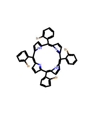 Brc1ccccc1-c1c2nc(c(-c3ccccc3Br)c3ccc([nH]3)c(-c3ccccc3Br)c3nc(c(-c4ccccc4Br)c4ccc1[nH]4)C=C3)C=C2